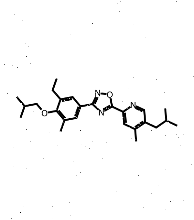 CCc1cc(-c2noc(-c3cc(C)c(CC(C)C)cn3)n2)cc(C)c1OCC(C)C